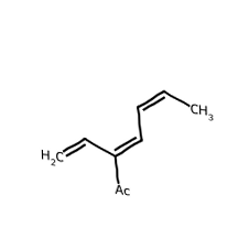 C=C/C(=C\C=C/C)C(C)=O